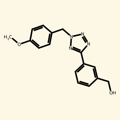 COc1ccc(Cn2nnc(-c3cccc(CO)c3)n2)cc1